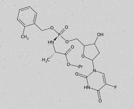 Cc1ccccc1CO[P@@](=O)(N[C@@H](C)C(=O)OC(C)C)OCC1OC(n2cc(F)c(=O)[nH]c2=O)CC1O